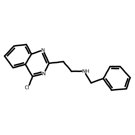 Clc1nc(CCNCc2ccccc2)nc2ccccc12